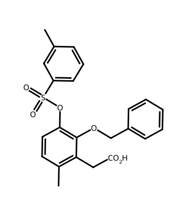 Cc1cccc(S(=O)(=O)Oc2ccc(C)c(CC(=O)O)c2OCc2ccccc2)c1